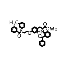 COC(=O)C(Cc1ccc(OCCN(C(=O)c2ccccc2)c2cccc(C)c2)cc1)Nc1ccccc1C(=O)c1ccccc1